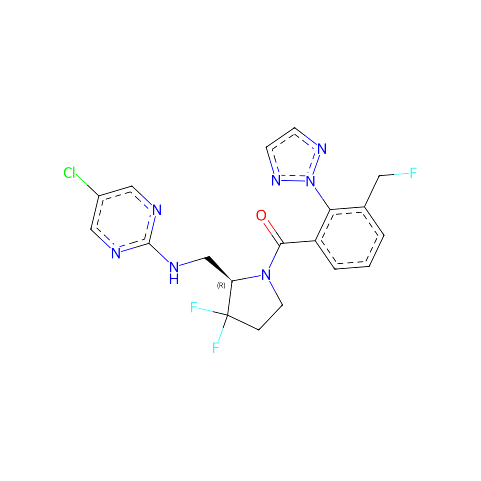 O=C(c1cccc(CF)c1-n1nccn1)N1CCC(F)(F)[C@H]1CNc1ncc(Cl)cn1